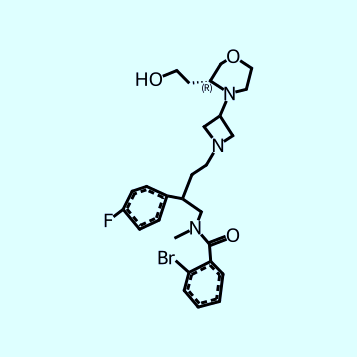 CN(CC(CCN1CC(N2CCOC[C@H]2CCO)C1)c1ccc(F)cc1)C(=O)c1ccccc1Br